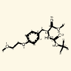 COCCOc1ccc(C[C@H](NC(=O)OC(C)(C)C)C(=O)OC)cc1